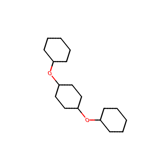 C1CCC(OC2CCC(OC3CCCCC3)CC2)CC1